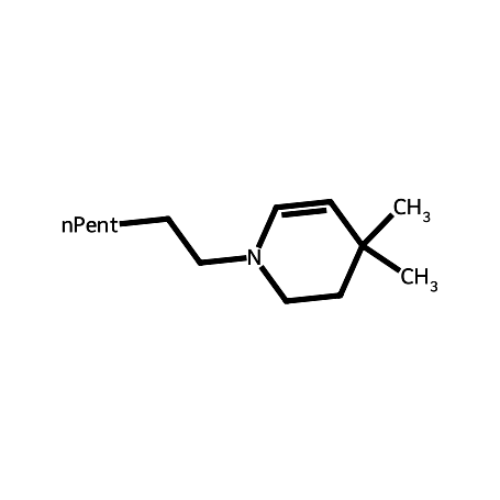 CCCCCCCN1C=CC(C)(C)CC1